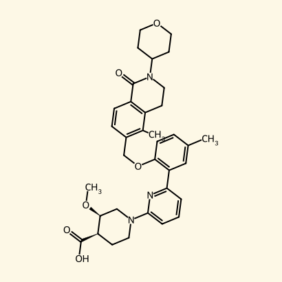 CO[C@H]1CN(c2cccc(-c3cc(C)ccc3OCc3ccc4c(c3C)CCN(C3CCOCC3)C4=O)n2)CC[C@H]1C(=O)O